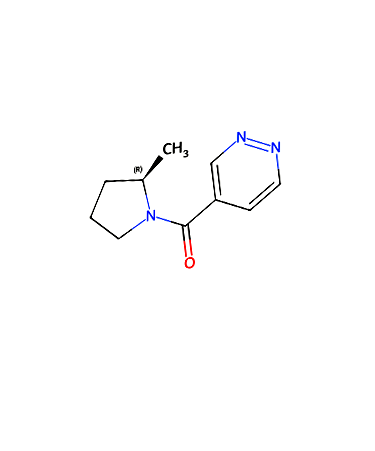 C[C@@H]1CCCN1C(=O)c1ccnnc1